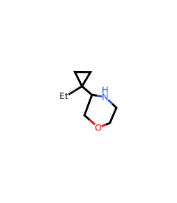 CCC1(C2COCCN2)CC1